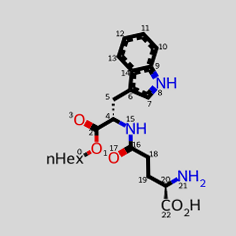 CCCCCCOC(=O)[C@H](Cc1c[nH]c2ccccc12)NC(=O)CC[C@@H](N)C(=O)O